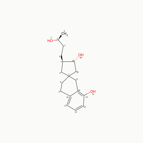 C[C@H](O)CC[C@@H]1CC2(CCc3cccc(O)c3C2)C[C@H]1O